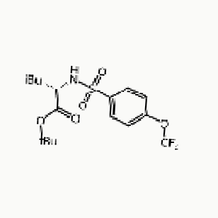 CC[C@@H](C)[C@H](NS(=O)(=O)c1ccc(OC(F)(F)F)cc1)C(=O)OC(C)(C)C